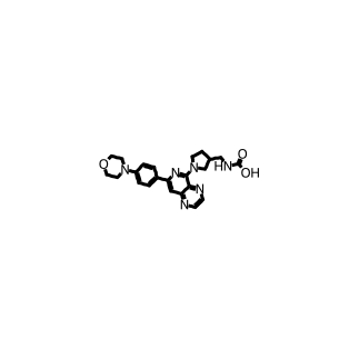 O=C(O)NCC1CCN(c2nc(-c3ccc(N4CCOCC4)cc3)cc3nccnc23)C1